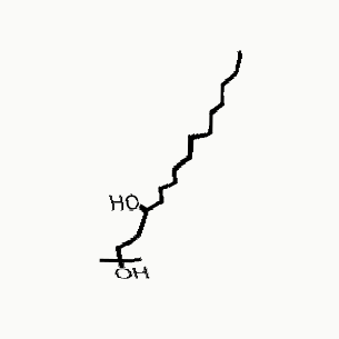 CCCCCCCCCCCCC(O)CCC(C)(C)O